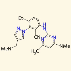 CCc1ccc(Nc2nc(C)cc(NC)n2)c(C#N)c1-n1cc(CNC)cn1